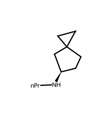 CCCN[C@@H]1CCC2(CC2)C1